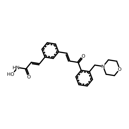 O=C(C=Cc1cccc(C=CC(=O)c2ccccc2CN2CCOCC2)c1)NO